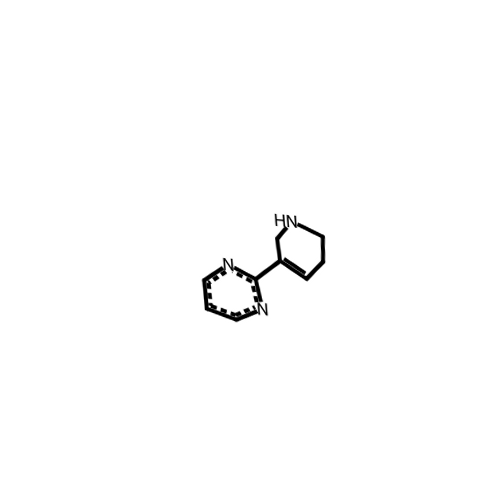 C1=C(c2ncccn2)CNCC1